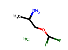 CC(N)COC(F)F.Cl